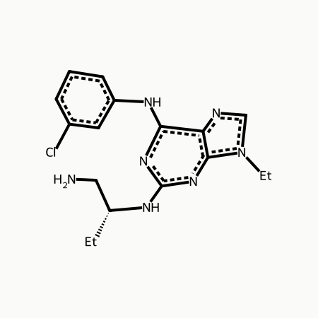 CC[C@H](CN)Nc1nc(Nc2cccc(Cl)c2)c2ncn(CC)c2n1